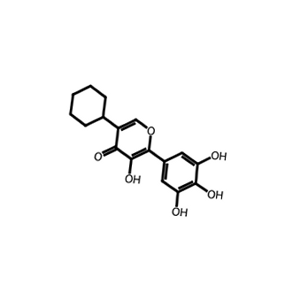 O=c1c(C2CCCCC2)coc(-c2cc(O)c(O)c(O)c2)c1O